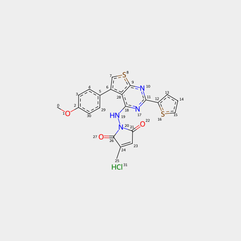 COc1ccc(-c2csc3nc(-c4cccs4)nc(NN4C(=O)C=C(C)C4=O)c23)cc1.Cl